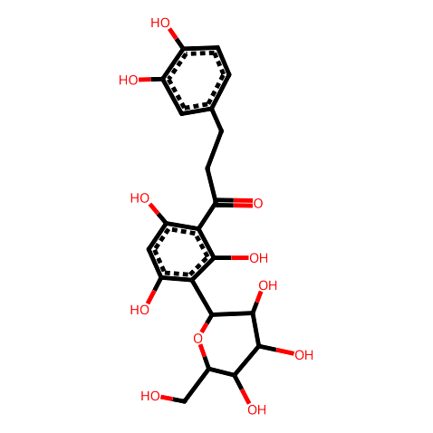 O=C(CCc1ccc(O)c(O)c1)c1c(O)cc(O)c(C2OC(CO)C(O)C(O)C2O)c1O